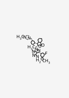 COc1cc(F)cc(-c2nn(C(C)c3oc(=O)c4ccccc4c3-c3cccc(CN4CCN(C)CC4)c3)c3ncnc(N)c23)c1